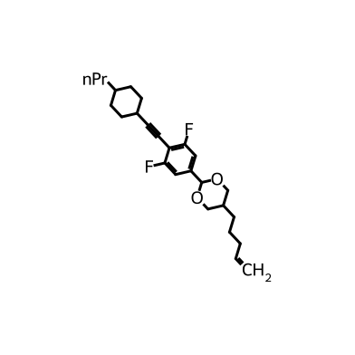 C=CCCCC1COC(c2cc(F)c(C#CC3CCC(CCC)CC3)c(F)c2)OC1